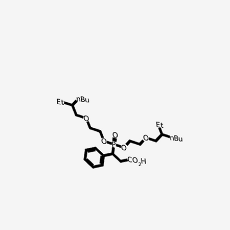 CCCCC(CC)COCCOP(=O)(OCCOCC(CC)CCCC)C(CC(=O)O)c1ccccc1